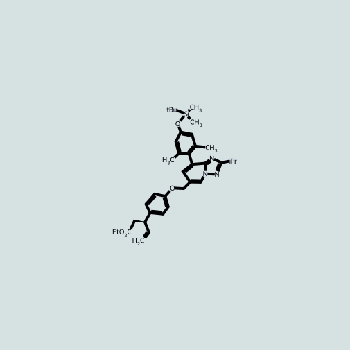 C=C[C@@H](CC(=O)OCC)c1ccc(OCc2cc(-c3c(C)cc(O[Si](C)(C)C(C)(C)C)cc3C)c3nc(C(C)C)nn3c2)cc1